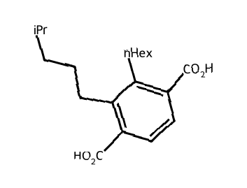 CCCCCCc1c(C(=O)O)ccc(C(=O)O)c1CCCC(C)C